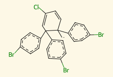 [CH2]C1(c2ccc(Br)cc2)C=CC(Cl)=CC1(c1ccc(Br)cc1)c1ccc(Br)cc1